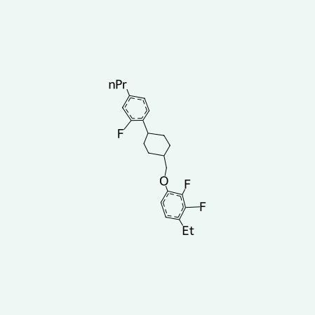 CCCc1ccc(C2CCC(COc3ccc(CC)c(F)c3F)CC2)c(F)c1